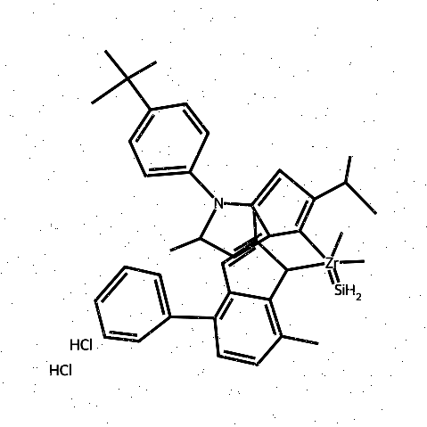 CC1=Cc2c(-c3ccccc3)ccc(C)c2[CH]1[Zr]([CH3])([CH3])(=[SiH2])[C]1=C(C(C)C)C=C2C1=CC(C)N2c1ccc(C(C)(C)C)cc1.Cl.Cl